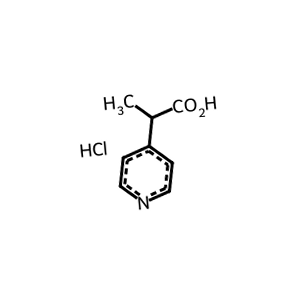 CC(C(=O)O)c1ccncc1.Cl